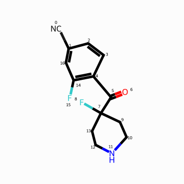 N#Cc1ccc(C(=O)C2(F)CCNCC2)c(F)c1